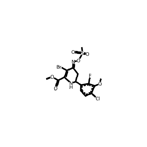 COC(=O)C1=C(Br)C(=NOS(C)(=O)=O)CC(c2ccc(Cl)c(OC)c2F)N1